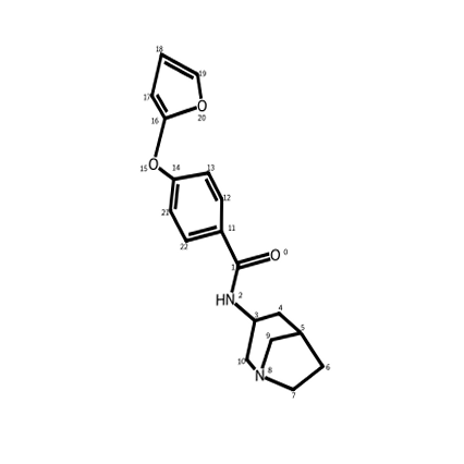 O=C(NC1CC2CCN(C2)C1)c1ccc(Oc2ccco2)cc1